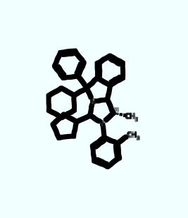 Cc1ccccc1N1C(C2CCCC2)N2C(c3ccccc3C2(c2ccccc2)C2CCCCC2)[C@@H]1C